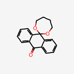 O=C1c2ccccc2C2(OCCCCO2)c2ccccc21